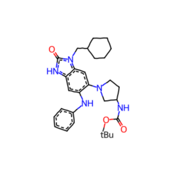 CC(C)(C)OC(=O)NC1CCN(c2cc3c(cc2Nc2ccccc2)[nH]c(=O)n3CC2CCCCC2)C1